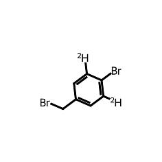 [2H]c1cc(CBr)cc([2H])c1Br